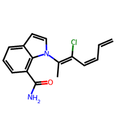 C=C/C=C\C(Cl)=C(/C)n1ccc2cccc(C(N)=O)c21